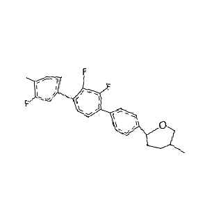 Cc1ccc(-c2ccc(-c3ccc(C4CCC(C)CO4)cc3)c(F)c2F)cc1F